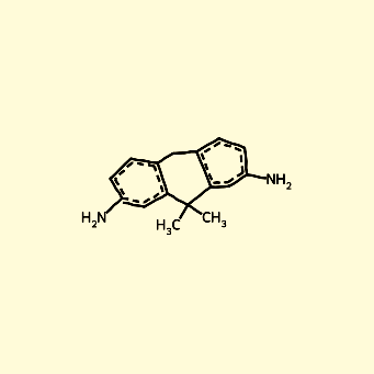 CC1(C)c2cc(N)ccc2Cc2ccc(N)cc21